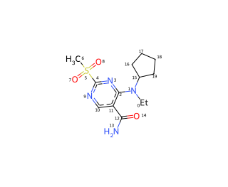 CCN(c1nc(S(C)(=O)=O)ncc1C(N)=O)C1CCCC1